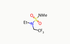 CCN(CC(F)(F)F)S(=O)(=O)NC